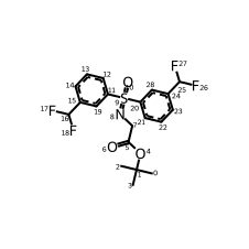 CC(C)(C)OC(=O)CN=S(=O)(c1cccc(C(F)F)c1)c1cccc(C(F)F)c1